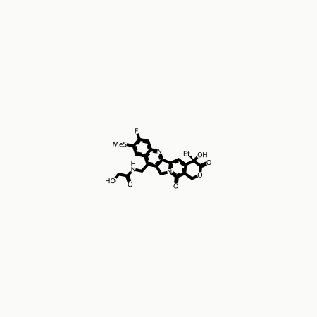 CC[C@@]1(O)C(=O)OCc2c1cc1n(c2=O)Cc2c-1nc1cc(F)c(SC)cc1c2CNC(=O)CO